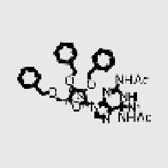 CC(=O)NC1=Nc2c(ncn2[C@@H]2O[C@H](COCc3ccccc3)[C@@H](OCc3ccccc3)[C@@H]2OCc2ccccc2)C(N)(NC(C)=O)N1